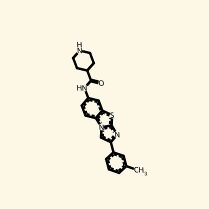 Cc1cccc(-c2cn3c(n2)sc2cc(NC(=O)C4CCNCC4)ccc23)c1